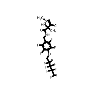 CN1C=C(Cl)C(C)(C(=O)NCc2c(F)c(F)c(OCC(F)(F)C(F)(F)C(F)(F)C(F)F)c(F)c2F)N1